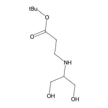 CC(C)(C)OC(=O)CCNC(CO)CO